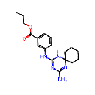 CCCOC(=O)c1cccc(NC2=NC(N)=NC3(CCCCC3)N2)c1